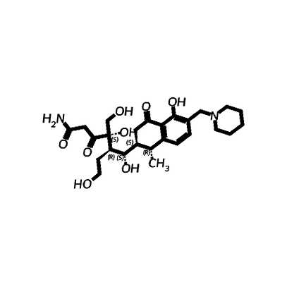 C[C@H]1c2ccc(CN3CCCCC3)c(O)c2C(=O)C[C@@H]1[C@H](O)[C@@H](CCO)[C@](O)(CO)C(=O)CC(N)=O